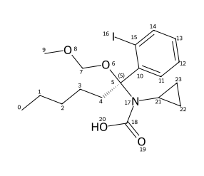 CCCCC[C@](OCOC)(c1ccccc1I)N(C(=O)O)C1CC1